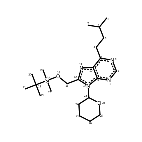 CC(C)CCc1ncnc2c1nc(CO[Si](C)(C)C(C)(C)C)n2C1CCCCO1